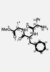 COC(=O)[C@H](C)NC(=O)[C@H](Cc1ccccc1)NC(=O)[C@@H](N)C(C)C